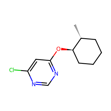 C[C@@H]1CCCC[C@H]1Oc1cc(Cl)ncn1